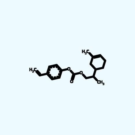 C=Cc1ccc(OC(=O)OCC(C)C2CCC=C(C)C2)cc1